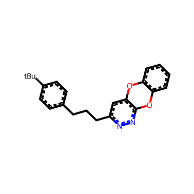 CC(C)(C)c1ccc(CCCc2cc3c(nn2)Oc2ccccc2O3)cc1